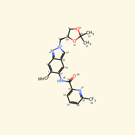 COc1cc2nn(C[C@H]3COC(C)(C)O3)cc2cc1NC(=O)c1cccc(C(F)(F)F)n1